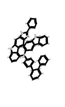 c1ccc(-c2nc3cc4c(cc3o2)oc2cccc(N(c3ccc(-c5ccccc5-c5ccccc5)cc3)c3ccc5oc6ccccc6c5c3)c24)cc1